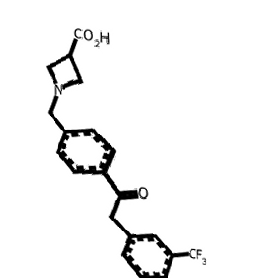 O=C(Cc1cccc(C(F)(F)F)c1)c1ccc(CN2CC(C(=O)O)C2)cc1